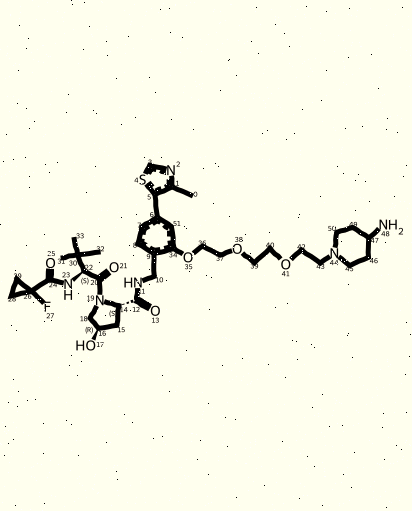 Cc1ncsc1-c1ccc(CNC(=O)[C@@H]2C[C@@H](O)CN2C(=O)[C@@H](NC(=O)C2(F)CC2)C(C)(C)C)c(OCCOCCOCCN2CCC(N)CC2)c1